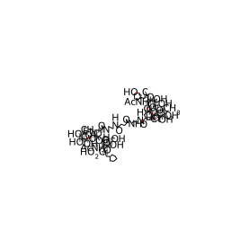 CC[C@H]1CC(C(=O)NCCNC(=O)CCC(=O)NCCNC(=O)[C@@H]2C[C@H](CC)[C@@H](O[C@@H]3O[C@@H](C)[C@@H](O)[C@@H](O)[C@@H]3O)[C@H](O[C@@H]3O[C@H](CO)[C@H](O)[C@H](O[C@@H](CC4CCCCC4)C(=O)O)[C@H]3NC(C)=O)C2)C[C@@H](O[C@@H]2O[C@H](CO)[C@H](O)[C@H](O[C@@H](CC3CCCCC3)C(=O)O)[C@H]2NC(C)=O)[C@@H]1O[C@@H]1O[C@@H](C)[C@@H](O)[C@@H](O)[C@@H]1O